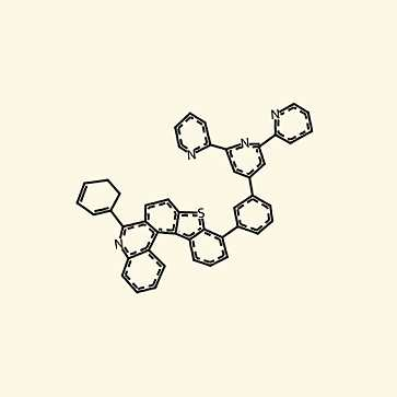 C1=CCCC(c2nc3ccccc3c3c2ccc2sc4c(-c5cccc(-c6cc(-c7ccccn7)nc(-c7ccccn7)c6)c5)cccc4c23)=C1